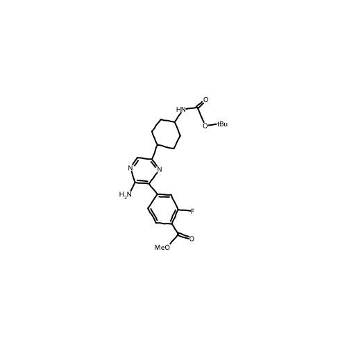 COC(=O)c1ccc(-c2nc(C3CCC(NC(=O)OC(C)(C)C)CC3)cnc2N)cc1F